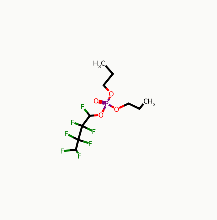 CCCOP(=O)(OCCC)OC(F)C(F)(F)C(F)(F)C(F)F